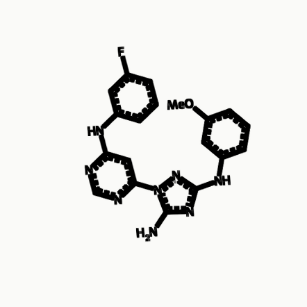 COc1cccc(Nc2nc(N)n(-c3cc(Nc4cccc(F)c4)ncn3)n2)c1